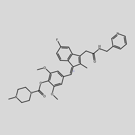 COc1cc(/C=C2/C(C)=C(CC(=O)NCc3cccnc3)c3cc(F)ccc32)cc(OC)c1OC(=O)N1CCN(C)CC1